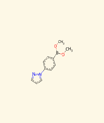 COB(OC)c1ccc(-n2cccn2)cc1